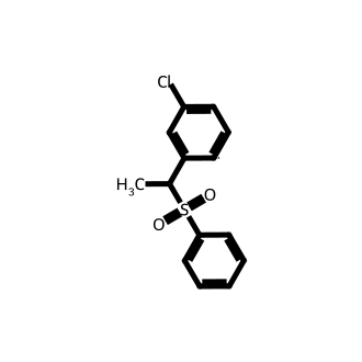 CC(c1[c]ccc(Cl)c1)S(=O)(=O)c1ccccc1